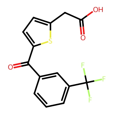 O=C(O)Cc1ccc(C(=O)c2cccc(C(F)(F)F)c2)s1